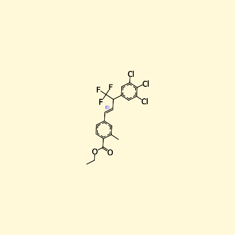 CCOC(=O)c1ccc(/C=C/C(c2cc(Cl)c(Cl)c(Cl)c2)C(F)(F)F)cc1C